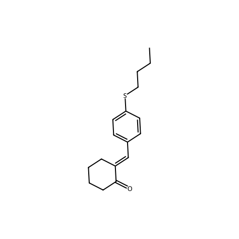 CCCCSc1ccc(/C=C2\CCCCC2=O)cc1